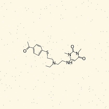 CCN(CCNc1cc(=O)n(C)c(=O)n1C)CCSc1ccc(C(C)=O)cc1